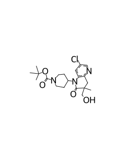 CC(C)(C)OC(=O)N1CCC(N2C(=O)C(C)(CO)Cc3ncc(Cl)cc32)CC1